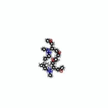 CC1(C)c2ccccc2-c2ccc(-c3nc(-c4ccccc4)nc(-c4cc(-c5ccc6oc7ccccc7c6c5)cc(-c5ccc6oc7cc(-c8ccc9oc%10ccc(-c%11cc(-c%12ccc%13oc%14ccccc%14c%13c%12)cc(-c%12nc(-c%13ccccc%13)nc(-c%13cccc(-c%14ccccc%14)c%13)n%12)c%11)cc%10c9c8)ccc7c6c5)c4)n3)cc21